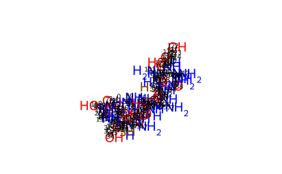 CC[C@H](C)[C@H](NC(=O)[C@@H]1C[C@@H](O)CN1C(=O)[C@@H](N)C(C)C)C(=O)N[C@H](C(=O)N[C@@H](Cc1ccc(O)cc1)C(=O)N[C@H](C(=O)N[C@@H](CC(N)=O)C(=O)N[C@@H](CCCNC(=N)N)C(=O)N[C@@H](CCN)C(=O)N[C@H](C(=O)N[C@H](CCN)C(=O)N[C@@H](CCCNC(N)=O)C(=O)N[C@@H](CS)C(=O)N[C@@H](CCN)C(=O)N[C@@H](CCCNC(=N)N)C(=O)N[C@@H](Cc1ccc(O)cc1)C(=O)O)[C@@H](C)O)C(C)(C)S)[C@@H](C)O